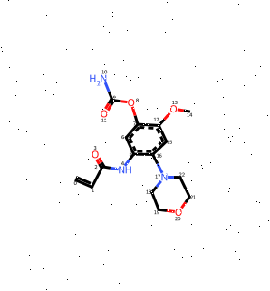 C=CC(=O)Nc1cc(OC(N)=O)c(OC)cc1N1CCOCC1